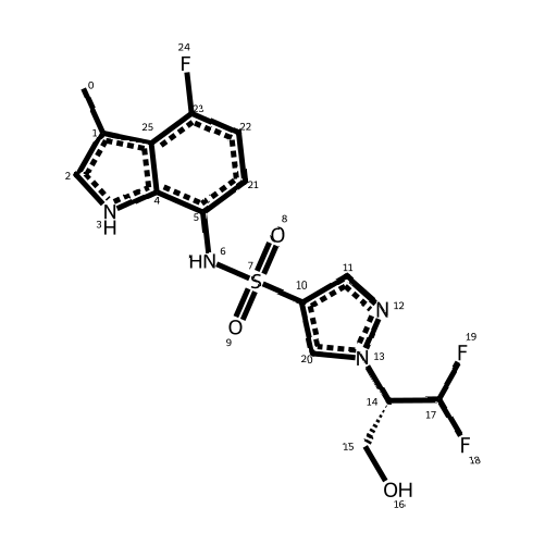 Cc1c[nH]c2c(NS(=O)(=O)c3cnn([C@@H](CO)C(F)F)c3)ccc(F)c12